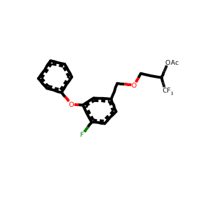 CC(=O)OC(COCc1ccc(F)c(Oc2ccccc2)c1)C(F)(F)F